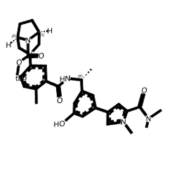 Cc1ccc(N2C[C@H]3CC[C@@H](C2)N3C(=O)OC(C)(C)C)cc1C(=O)N[C@H](C)c1cc(O)cc(-c2cc(C(=O)N(C)C)n(C)c2)c1